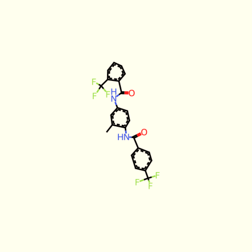 Cc1cc(NC(=O)c2ccccc2C(F)(F)F)ccc1NC(=O)c1ccc(C(F)(F)F)cc1